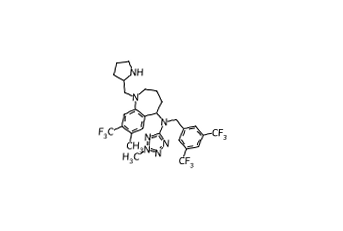 Cc1cc2c(cc1C(F)(F)F)N(CC1CCCN1)CCCC2N(Cc1cc(C(F)(F)F)cc(C(F)(F)F)c1)c1nnn(C)n1